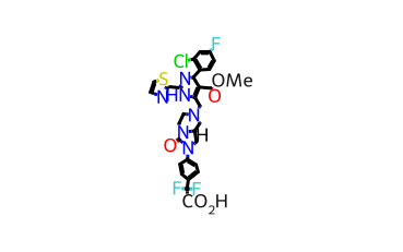 COC(=O)C1=C(CN2CCN3C(=O)N(c4ccc(C(F)(F)C(=O)O)cc4)C[C@@H]3C2)NC(c2nccs2)=NC1c1ccc(F)cc1Cl